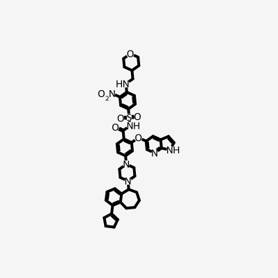 O=C(NS(=O)(=O)c1ccc(NCC2CCOCC2)c([N+](=O)[O-])c1)c1ccc(N2CCN(C3CCCCc4c(C5=CCCC5)cccc43)CC2)cc1Oc1cnc2[nH]ccc2c1